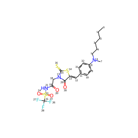 CCCCCCN(C)c1ccc(/C=C2\SC(=S)N(CC(=O)NS(=O)(=O)C(F)(F)F)C2=O)cc1